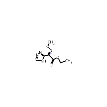 CCOC(=O)/C(=N/OC)c1nnn[nH]1